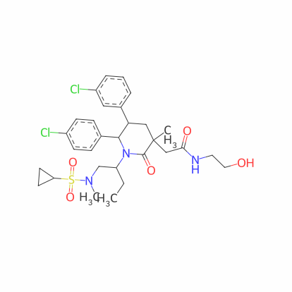 CCC(CN(C)S(=O)(=O)C1CC1)N1C(=O)C(C)(CC(=O)NCCO)CC(c2cccc(Cl)c2)C1c1ccc(Cl)cc1